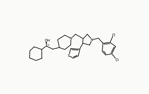 O[C@@H](CC1CCN(CC2CN(Cc3ccc(Cl)cc3Cl)CC2c2ccsc2)CC1)C1CCCCC1